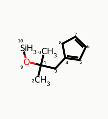 CC(C)(CC1=CC=CC1)O[SiH3]